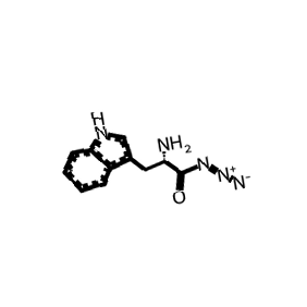 [N-]=[N+]=NC(=O)[C@@H](N)Cc1c[nH]c2ccccc12